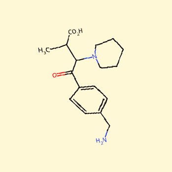 CC(C(=O)O)C(C(=O)c1ccc(CN)cc1)N1CCCCC1